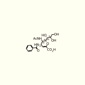 CC(=O)N[C@H]1[C@H]([C@H](O)[C@H](O)CO)OC(C(=O)O)=C[C@@H]1NC(=O)c1ccccc1